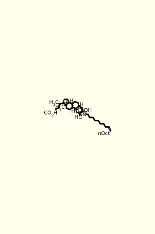 CCCCCCCC/C=C\CCCCCCCCN[C@]1(O)C[C@H]2CC[C@@H]3[C@H](CC[C@]4(C)[C@@H]([C@H](C)CCC(=O)O)CC[C@@H]34)[C@@]2(C)CC1O